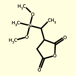 CO[Si](C)(OC)C(C)C1CC(=O)OC1=O